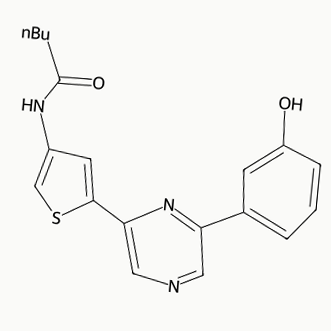 CCCCC(=O)Nc1csc(-c2cncc(-c3cccc(O)c3)n2)c1